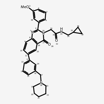 COc1cccc(-c2nc3ccc(-c4cccc(CN5CCCCC5)c4)cc3c(=O)n2CC(=O)NCC2CC2)c1